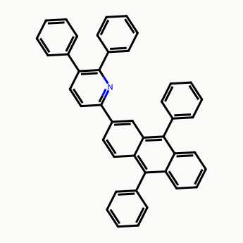 c1ccc(-c2ccc(-c3ccc4c(-c5ccccc5)c5ccccc5c(-c5ccccc5)c4c3)nc2-c2ccccc2)cc1